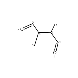 [CH2]C(C=O)C(C)C=O